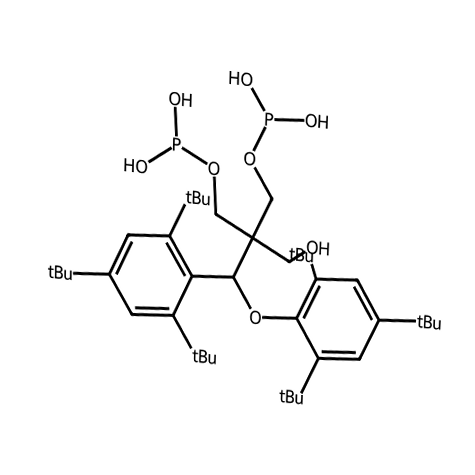 CC(C)(C)c1cc(C(C)(C)C)c(OC(c2c(C(C)(C)C)cc(C(C)(C)C)cc2C(C)(C)C)C(CO)(COP(O)O)COP(O)O)c(C(C)(C)C)c1